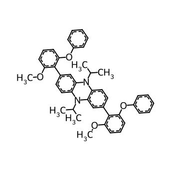 COc1cccc(Oc2ccccc2)c1-c1ccc2c(c1)N(C(C)C)c1ccc(-c3c(OC)cccc3Oc3ccccc3)cc1N2C(C)C